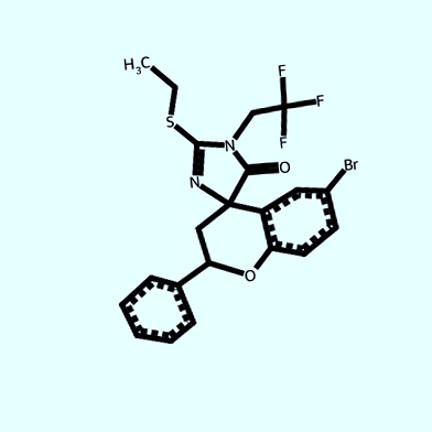 CCSC1=NC2(CC(c3ccccc3)Oc3ccc(Br)cc32)C(=O)N1CC(F)(F)F